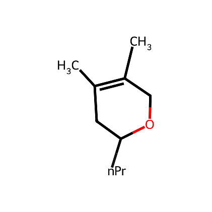 CCCC1CC(C)=C(C)CO1